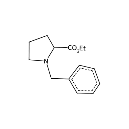 CCOC(=O)C1CCCN1Cc1ccccc1